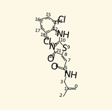 C=C(C)CNC(=O)C=C1SC(Nc2c(Cl)cccc2Cl)=NC1=O